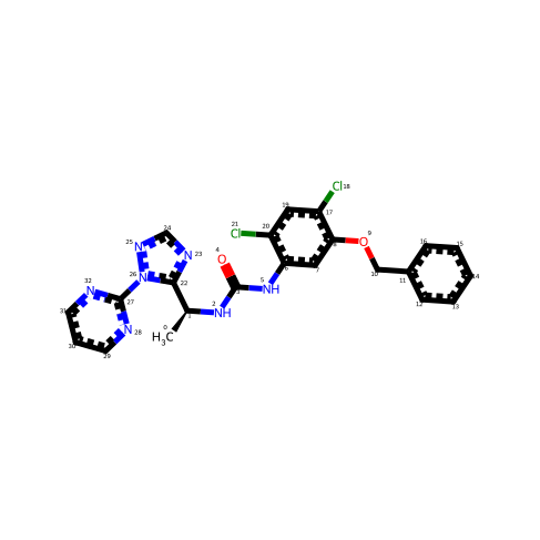 C[C@H](NC(=O)Nc1cc(OCc2ccccc2)c(Cl)cc1Cl)c1ncnn1-c1ncccn1